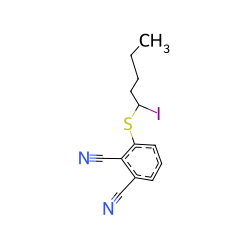 CCCCC(I)Sc1cccc(C#N)c1C#N